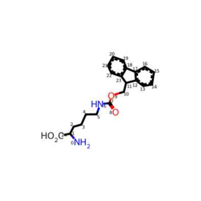 NC(CCCCNC(=O)OCC1c2ccccc2-c2ccccc21)C(=O)O